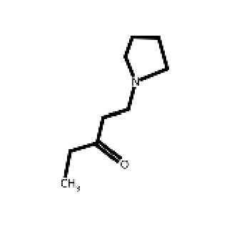 CCC(=O)CCN1CCCC1